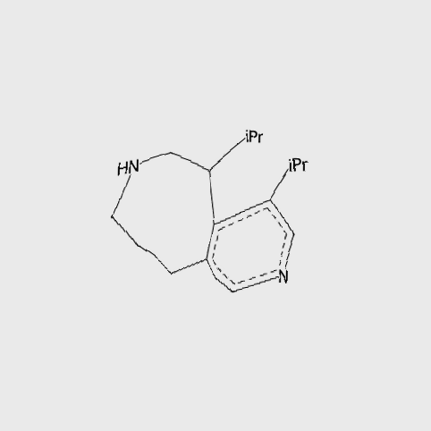 CC(C)c1cncc2c1C(C(C)C)CNCCC2